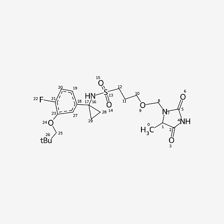 CC1C(=O)NC(=O)N1COCCCS(=O)(=O)NC1(c2ccc(F)c(OCC(C)(C)C)c2)CC1